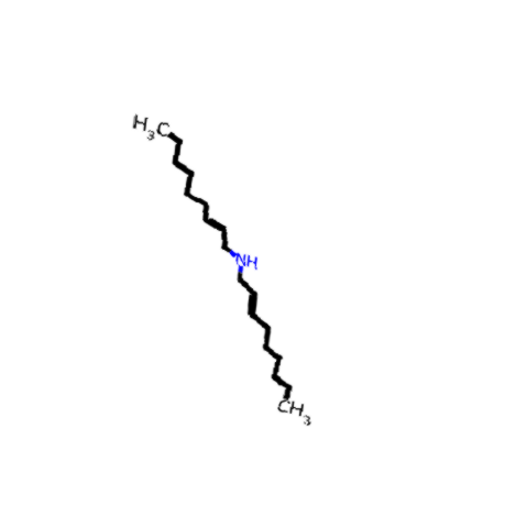 CCCCCCC=CCNCC=CCCCCCC